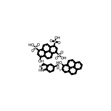 Nc1ccc2[nH]ncc2c1.O=S(=O)(O)c1cc(O)c2ccc3c(S(=O)(=O)O)cc(S(=O)(=O)O)c4ccc1c2c34.Oc1ccc2ccc3cccc4ccc1c2c34